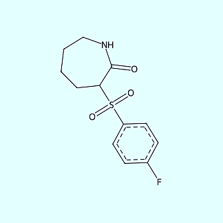 O=C1NCCCCC1S(=O)(=O)c1ccc(F)cc1